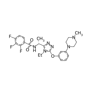 CCn1c(Oc2cccc(N3CCN(C)CC3)c2)nnc1[C@@H](C)NS(=O)(=O)c1ccc(F)c(F)c1F